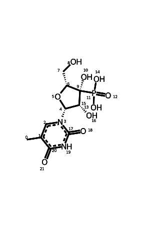 Cc1cn([C@@H]2O[C@H](CO)[C@@](O)(P(=O)(O)O)[C@@H]2O)c(=O)[nH]c1=O